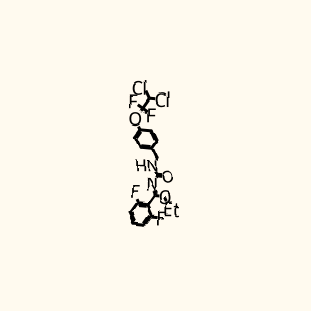 CCOC(=NC(=O)NCc1ccc(OC(F)(F)C(Cl)Cl)cc1)c1c(F)cccc1F